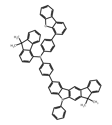 CC1(C)c2ccccc2-c2cc3c4cc(-c5ccc(N(c6ccc(-c7cccc8c7oc7ccccc78)cc6)c6cccc7c6-c6ccccc6C7(C)C)cc5)ccc4n(-c4ccccc4)c3cc21